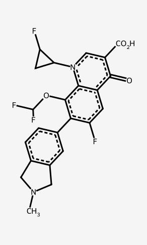 CN1Cc2ccc(-c3c(F)cc4c(=O)c(C(=O)O)cn(C5CC5F)c4c3OC(F)F)cc2C1